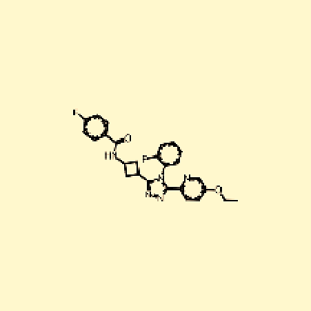 CCOc1ccc(-c2nnc(C3CC(NC(=O)c4ccc(F)cc4)C3)n2-c2ccccc2F)nc1